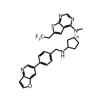 CN(c1ncnc2sc(CC(F)(F)F)cc12)[C@@H]1CCC(NCc2ccc(-c3cnc4ccoc4c3)cc2)C1